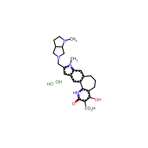 CN1CCC2CN(Cc3cc4cc5c(cc4n3C)CCCc3c-5[nH]c(=O)c(C(=O)O)c3O)CC21.Cl.Cl